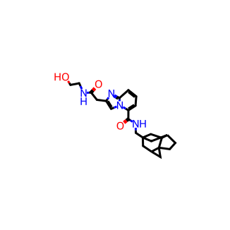 O=C(Cc1cn2c(C(=O)NCC34CC5CCC6(CC6C3)C5C4)cccc2n1)NCCO